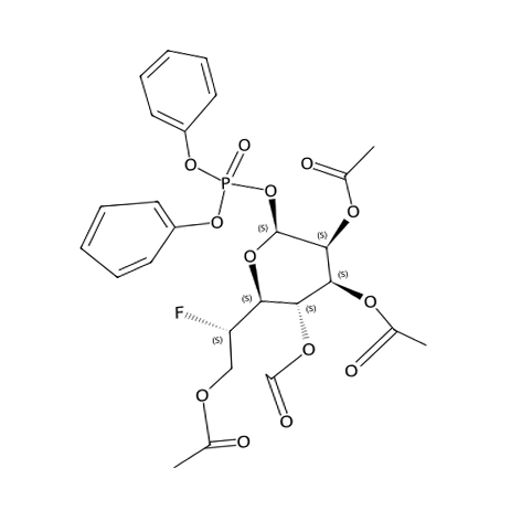 CC(=O)OC[C@H](F)[C@H]1O[C@@H](OP(=O)(Oc2ccccc2)Oc2ccccc2)[C@@H](OC(C)=O)[C@@H](OC(C)=O)[C@@H]1OC(C)=O